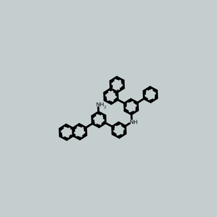 Nc1cc(-c2cccc(Nc3cc(-c4ccccc4)cc(-c4cccc5ccccc45)c3)c2)cc(-c2ccc3ccccc3c2)c1